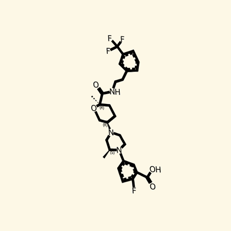 C[C@H]1CN([C@@H]2CC[C@](C)(C(=O)NCCc3cccc(C(F)(F)F)c3)OC2)CCN1c1ccc(F)c(C(=O)O)c1